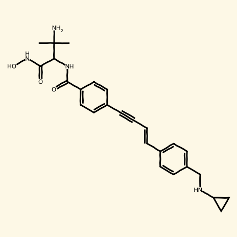 CC(C)(N)C(NC(=O)c1ccc(C#C/C=C/c2ccc(CNC3CC3)cc2)cc1)C(=O)NO